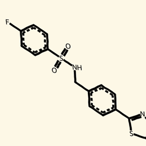 O=S(=O)(NCc1ccc(C2=NCCS2)cc1)c1ccc(F)cc1